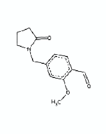 COc1cc(CN2CCCC2=O)ccc1C=O